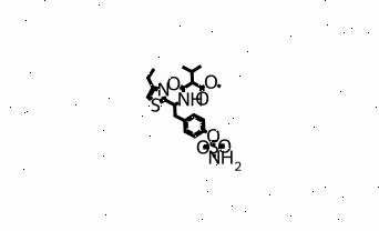 CCc1csc(C(Cc2ccc(OS(N)(=O)=O)cc2)NC(=O)C(C(=O)OC)C(C)C)n1